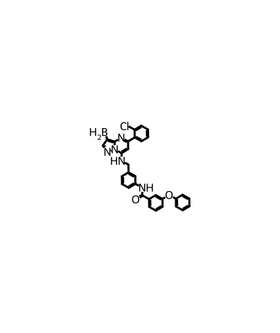 Bc1cnn2c(NCc3cccc(NC(=O)c4cccc(Oc5ccccc5)c4)c3)cc(-c3ccccc3Cl)nc12